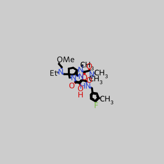 CCN(CCOC)CC12CCC(N(C)C(=O)C(=O)N(C)C)(CC1)c1nc(C(=O)NCc3ccc(F)c(C)c3)c(O)c(=O)n1C2